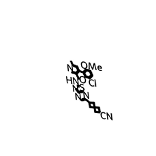 COc1ccc(Cl)cc1-c1cc(C)ncc1C(=O)Nc1nc2ncc(C3CC4(CC(C#N)C4)C3)nc2s1